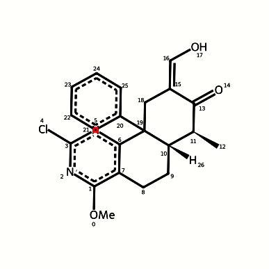 COc1nc(Cl)nc2c1CC[C@H]1[C@H](C)C(=O)/C(=C\O)CC21c1ccccc1